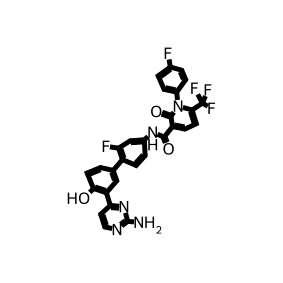 Nc1nccc(-c2cc(-c3ccc(NC(=O)c4ccc(C(F)(F)F)n(-c5ccc(F)cc5)c4=O)cc3F)ccc2O)n1